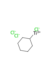 [Cl-].[Cl-].[Cl-].[Ti+3][CH]1CCCCC1